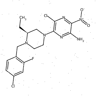 CC[C@H]1CN(c2nc(N)c([N+](=O)[O-])nc2Cl)CCN1Cc1ccc(Cl)cc1F